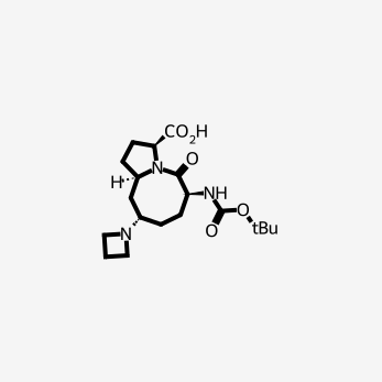 CC(C)(C)OC(=O)N[C@H]1CC[C@H](N2CCC2)C[C@H]2CC[C@@H](C(=O)O)N2C1=O